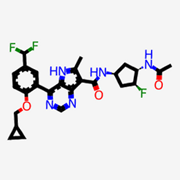 CC(=O)N[C@H]1C[C@H](NC(=O)c2c(C)[nH]c3c(-c4cc(C(F)F)ccc4OCC4CC4)ncnc23)C[C@@H]1F